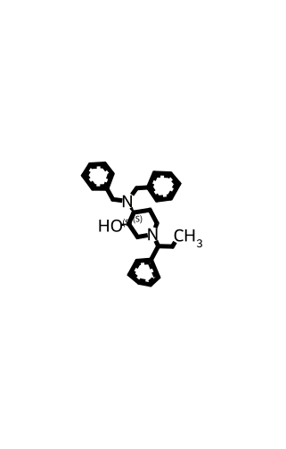 CCC(c1ccccc1)N1CC[C@H](N(Cc2ccccc2)Cc2ccccc2)[C@@H](O)C1